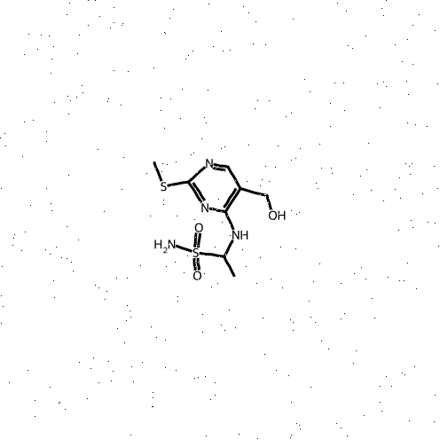 CSc1ncc(CO)c(NC(C)S(N)(=O)=O)n1